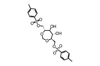 Cc1ccc(S(=O)(=O)OC[C@H]2OCO[C@H](COS(=O)(=O)c3ccc(C)cc3)[C@@H](O)[C@@H]2O)cc1